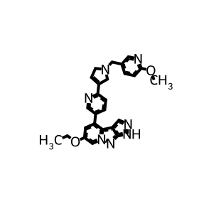 CCOc1cc(-c2ccc(C3=CCN(Cc4ccc(OC)nc4)C3)nc2)c2c3cn[nH]c3nn2c1